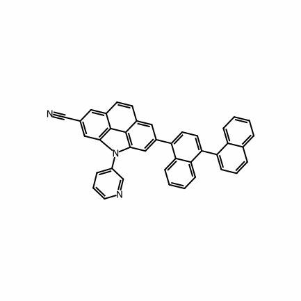 N#Cc1cc2ccc3cc(-c4ccc(-c5cccc6ccccc56)c5ccccc45)cc4c3c2c(c1)n4-c1cccnc1